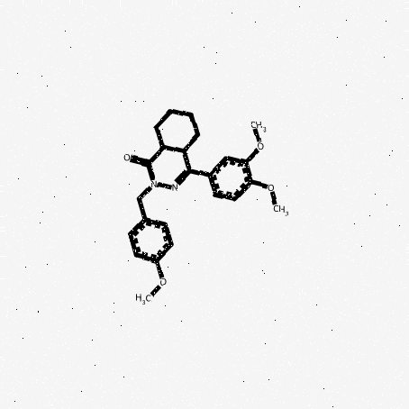 COc1ccc(CN2N=C(c3ccc(OC)c(OC)c3)C3CCCCC3C2=O)cc1